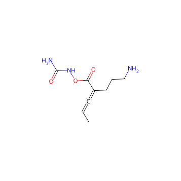 CC=C=C(CCCN)C(=O)ONC(N)=O